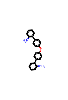 Nc1ccccc1-c1ccc(Oc2ccc(-c3ccccc3N)cc2)cc1